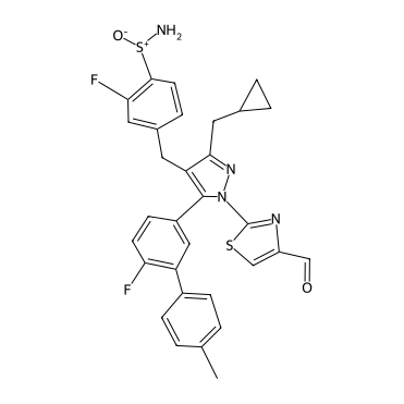 Cc1ccc(-c2cc(-c3c(Cc4ccc([S+](N)[O-])c(F)c4)c(CC4CC4)nn3-c3nc(C=O)cs3)ccc2F)cc1